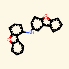 c1ccc2c(c1)oc1ccc(Nc3cccc4oc5ccccc5c34)cc12